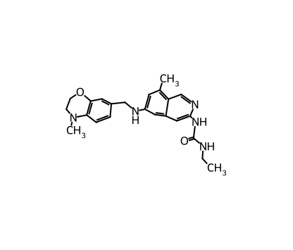 CCNC(=O)Nc1cc2cc(NCc3ccc4c(c3)OCCN4C)cc(C)c2cn1